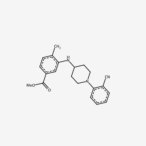 COC(=O)c1ccc(C)c(NC2CCN(c3ccccc3C#N)CC2)c1